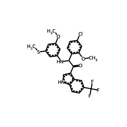 COc1cc(NC(C(=O)c2c[nH]c3ccc(C(F)(F)F)cc23)c2ccc(Cl)cc2OC)cc(SC)c1